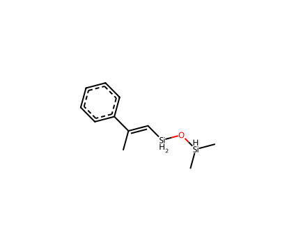 CC(=C[SiH2]O[SiH](C)C)c1ccccc1